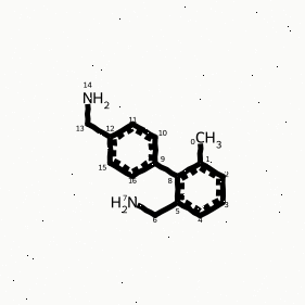 Cc1cccc(CN)c1-c1ccc(CN)cc1